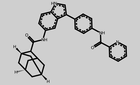 O=C(Nc1ccc(-c2c[nH]c3ccc(NC(=O)C4C5C[C@H]6C[C@@H](C5)C[C@@H]4C6)cc23)cc1)c1ccccn1